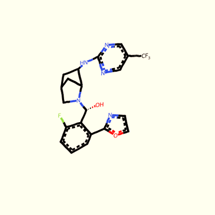 O[C@H](c1c(F)cccc1-c1ncco1)N1CC2CC(Nc3ncc(C(F)(F)F)cn3)C1C2